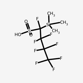 C[Si](C)(C)C(F)(C(F)(F)C(F)(F)C(F)(F)F)S(=O)(=O)O